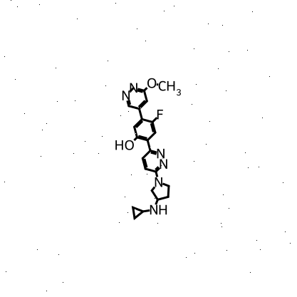 COc1cc(-c2cc(O)c(-c3ccc(N4CCC(NC5CC5)C4)nn3)cc2F)cnn1